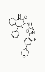 O=C1Nc2ccccc2C(c2ccccc2)=NC1Nc1nnc(-c2ccc(N3CCOCC3)cc2F)o1